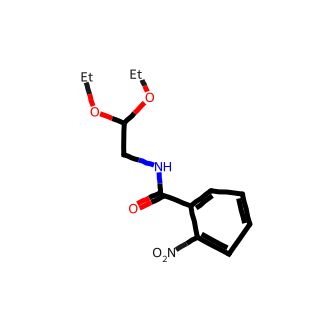 CCOC(CNC(=O)c1ccccc1[N+](=O)[O-])OCC